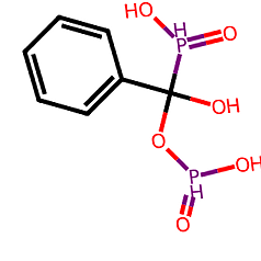 O=[PH](O)OC(O)(c1ccccc1)[PH](=O)O